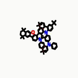 CC(C)(C)c1ccc(N2B3c4cc(N(c5ccccc5)c5ccccc5)ccc4N(c4ccc(C(C)(C)C)cc4-c4ccccc4)c4cc(C(C)(C)C)cc(c43)-c3c2ccc2c3oc3cc4c(cc32)C(C)(C)CCC4(C)C)cc1